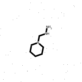 NNCN1CCCCC1